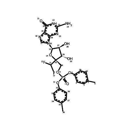 Cc1ccc(OP(=O)(OC[C@@]2(C(F)F)O[C@@H](n3cnc4c(=O)[nH]c(N)nc43)[C@@H](O)[C@@H]2O)Oc2ccc(C)cc2)cc1